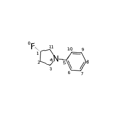 F[C@H]1CCN(c2ccccc2)C1